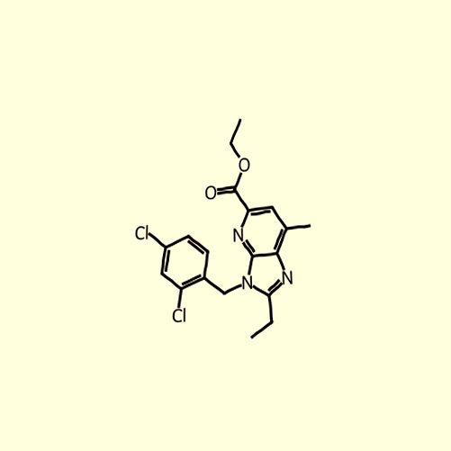 CCOC(=O)c1cc(C)c2nc(CC)n(Cc3ccc(Cl)cc3Cl)c2n1